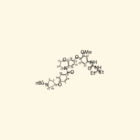 CCCCN1CCC(Oc2ccc(C(=O)N3CCCOc4cc(Oc5ccc(NC(=O)NC(CC)CC)cc5OC)ccc43)cc2)CC1